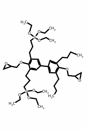 CCCCc1cc(-c2cc(CCC[Si](OCC)(OCC)OCC)c(OCC3CO3)c(CCC[Si](OCC)(OCC)OCC)c2)cc(CCCC)c1OCC1CO1